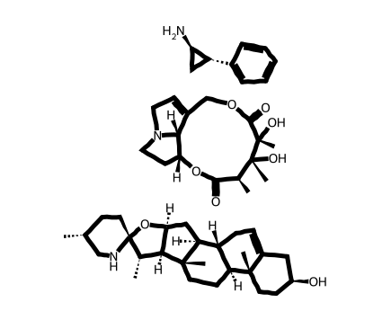 C[C@@H]1CC[C@@]2(NC1)O[C@H]1C[C@H]3[C@@H]4CC=C5C[C@@H](O)CC[C@]5(C)[C@H]4CC[C@]3(C)[C@H]1[C@@H]2C.C[C@H]1C(=O)O[C@@H]2CCN3CC=C(COC(=O)[C@](C)(O)[C@]1(C)O)[C@H]23.N[C@@H]1C[C@H]1c1ccccc1